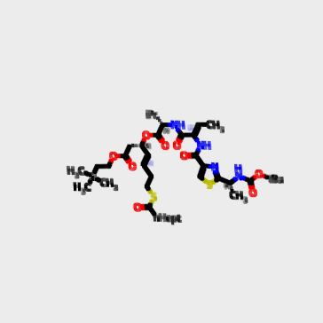 C/C=C(\NC(=O)c1csc([C@@H](C)NC(=O)OC(C)(C)C)n1)C(=O)N[C@H](C(=O)O[C@H](/C=C/CCSC(=O)CCCCCCC)CC(=O)OCC[Si](C)(C)C)C(C)C